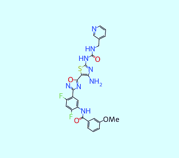 COc1cccc(C(=O)Nc2cc(-c3noc(-c4sc(NC(=O)NCc5cccnc5)nc4N)n3)c(F)cc2F)c1